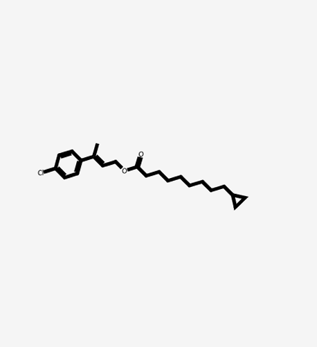 C/C(=C\COC(=O)CCCCCCCCC1CC1)c1ccc(Cl)cc1